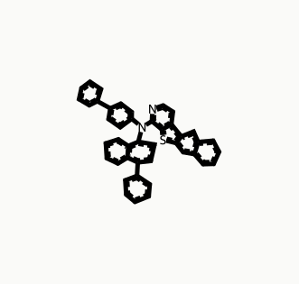 c1ccc(-c2ccc(N(c3ccc(-c4ccccc4)c4ccccc34)c3nccc4c3sc3cc5ccccc5cc34)cc2)cc1